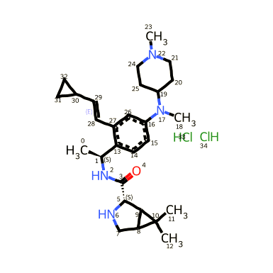 C[C@H](NC(=O)[C@H]1NCC2C1C2(C)C)c1ccc(N(C)C2CCN(C)CC2)cc1/C=C/C1CC1.Cl.Cl